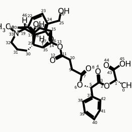 C[C@H](OC(=O)[C@@H](OC(=O)CCC(=O)OC1=CC[C@@]2(O)[C@H]3Cc4ccc(CO)c5c4[C@@]2(CCCN3C)[C@H]1O5)c1ccccc1)C(=O)O